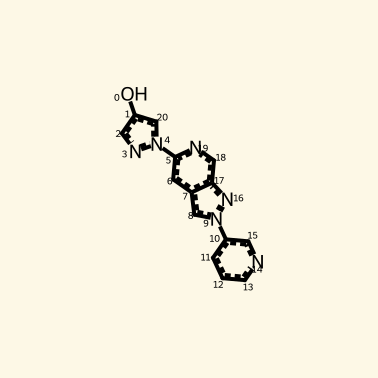 Oc1cnn(-c2cc3cn(-c4cccnc4)nc3cn2)c1